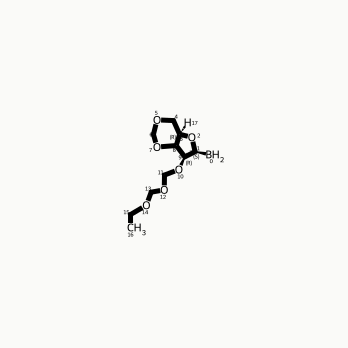 B[C@@H]1O[C@@H]2COCOC2[C@@H]1OCOCOCC